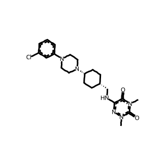 Cn1nc(NC[C@H]2CC[C@@H](N3CCN(c4cccc(Cl)c4)CC3)CC2)c(=O)n(C)c1=O